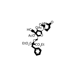 C#C[C@@]1(OC(C)=O)[C@@H](COC(Cc2ccccc2)(C(=O)OCC)C(=O)OCC)O[C@@H](n2ccc(=O)[nH]c2=O)[C@@H]1OC(C)=O